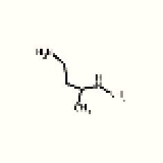 BCCC(C)NN